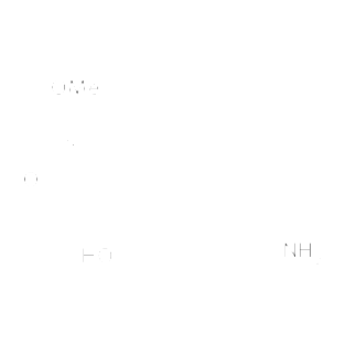 COC(=O)c1ccc(CN)cc1O